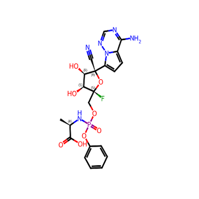 C[C@@H](NP(=O)(OC[C@@]1(F)O[C@@](C#N)(c2ccc3c(N)ncnn23)[C@H](O)[C@@H]1O)Oc1ccccc1)C(=O)O